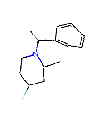 [CH2]C1CC(F)CCN1[C@H](C)c1ccccc1